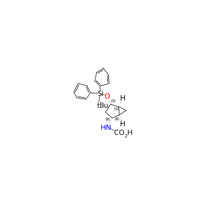 CC(C)(C)[Si](O[C@H]1C[C@@H](NC(=O)O)[C@@H]2C[C@@H]21)(c1ccccc1)c1ccccc1